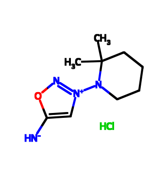 CC1(C)CCCCN1[n+]1cc([NH-])on1.Cl